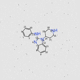 c1ccc(Nc2nc3ccccc3n2C2CCNCC2)cc1